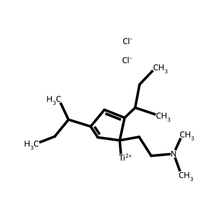 CCC(C)C1=C[C]([Ti+2])(CCN(C)C)C(C(C)CC)=C1.[Cl-].[Cl-]